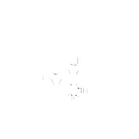 Cl.Fc1ccc(C(c2ccc(F)cc2)C2CCCNC2)cc1